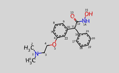 CN(C)CCOc1cccc(C(C(=O)NO)c2ccccc2)c1